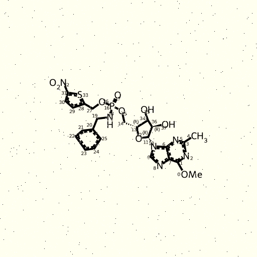 COc1nc(C)nc2c1ncn2[C@@H]1O[C@H](COP(=O)(NCc2ccccc2)OCc2ccc([N+](=O)[O-])s2)C(O)[C@H]1O